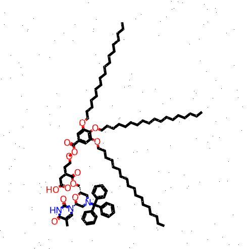 CCCCCCCCCCCCCCCCCCOc1cc(C(=O)OOCCC(CC(=O)O)C(=O)OC[C@@H]2CN(C(c3ccccc3)(c3ccccc3)c3ccccc3)C[C@H](n3cc(C)c(=O)[nH]c3=O)O2)cc(OCCCCCCCCCCCCCCCCCC)c1OCCCCCCCCCCCCCCCCCC